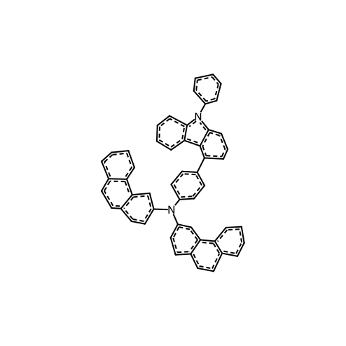 c1ccc(-n2c3ccccc3c3c(-c4ccc(N(c5ccc6ccc7ccccc7c6c5)c5ccc6ccc7ccccc7c6c5)cc4)cccc32)cc1